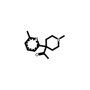 CC(=O)C1(c2cccc(C)n2)CCN(C)CC1